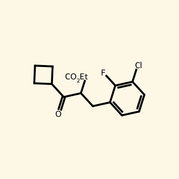 CCOC(=O)C(Cc1cccc(Cl)c1F)C(=O)C1CCC1